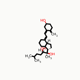 C=C1CC[C@H](O)C/C1=C/C=C1\CCC[C@@]2(C)[C@H]1CC[C@@H]2[C@@](C)(O)C(O)CCC(C)C